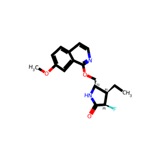 CC[C@@H]1[C@@H](COc2nccc3ccc(OC)cc23)NC(=O)[C@@H]1F